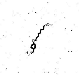 CCCCCCCCCCCCCCCCCCOc1ccc(CN)cc1